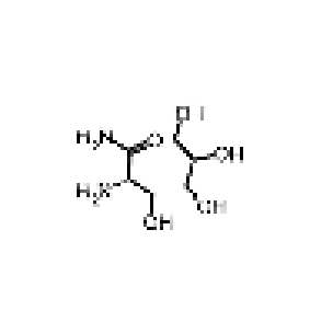 NC(=O)[C@@H](N)CO.OCC(O)CO